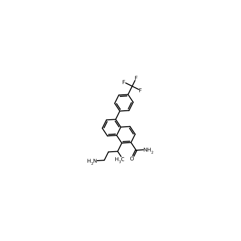 CC(CCN)c1c(C(N)=O)ccc2c(-c3ccc(C(F)(F)F)cc3)cccc12